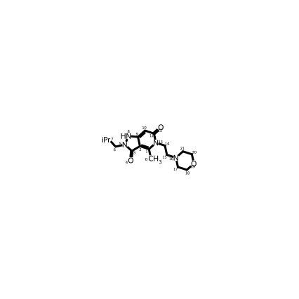 Cc1c2c(=O)n(CC(C)C)[nH]c2cc(=O)n1CCN1CCOCC1